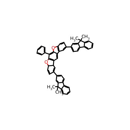 CC1(C)c2ccccc2-c2ccc(C3=CC4c5cc6c(oc7ccc(-c8ccc9c(c8)C(C)(C)c8ccccc8-9)cc76)c(-c6ccccc6)c5OC4C=C3)cc21